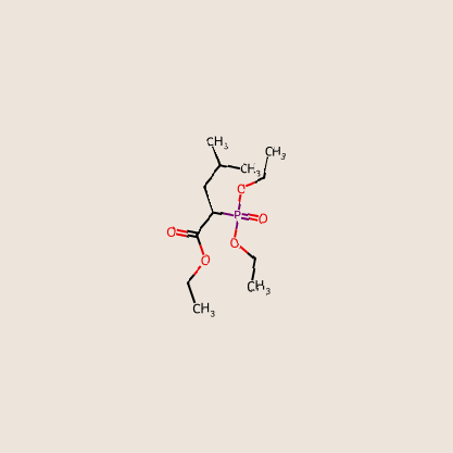 CCOC(=O)C(CC(C)C)P(=O)(OCC)OCC